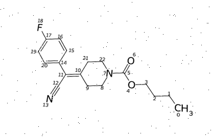 CCCCOC(=O)N1CCC(=C(C#N)c2ccc(F)cc2)CC1